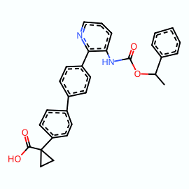 CC(OC(=O)Nc1cccnc1-c1ccc(-c2ccc(C3(C(=O)O)CC3)cc2)cc1)c1ccccc1